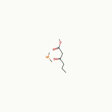 CCCC(=O)CC(=O)OC.CPC